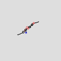 CCCCCCOc1ccc(-c2ccc(OC(=O)c3ccc(C4CCC(CCCCCC)CC4)c(C#N)c3)cc2)cc1